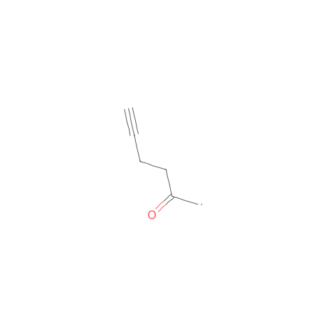 C#CCCC([CH2])=O